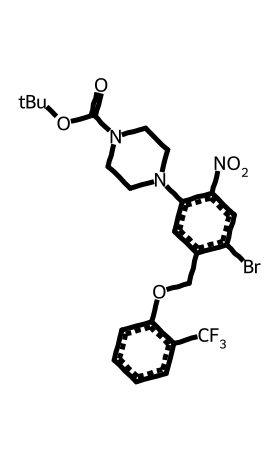 CC(C)(C)OC(=O)N1CCN(c2cc(COc3ccccc3C(F)(F)F)c(Br)cc2[N+](=O)[O-])CC1